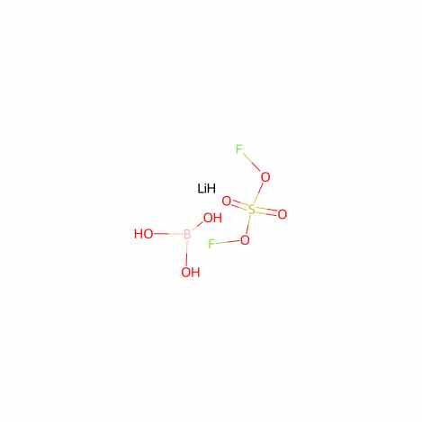 O=S(=O)(OF)OF.OB(O)O.[LiH]